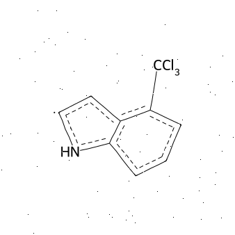 ClC(Cl)(Cl)c1cccc2[nH][c]cc12